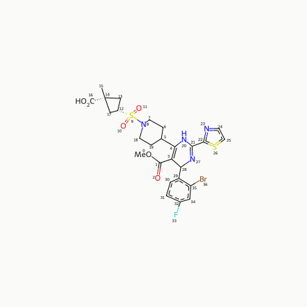 COC(=O)C1=C(C2CCN(S(=O)(=O)[C@H]3C[C@@](C)(C(=O)O)C3)CC2)NC(c2nccs2)=NC1c1ccc(F)cc1Br